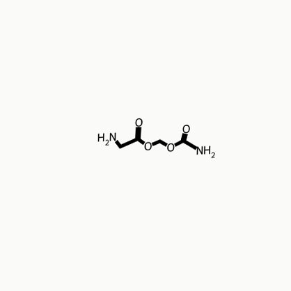 NCC(=O)OCOC(N)=O